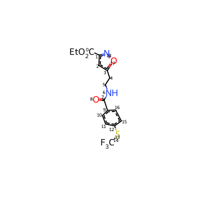 CCOC(=O)c1cc(CCNC(=O)c2ccc(SC(F)(F)F)cc2)on1